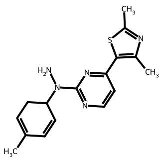 CC1=CCC(N(N)c2nccc(-c3sc(C)nc3C)n2)C=C1